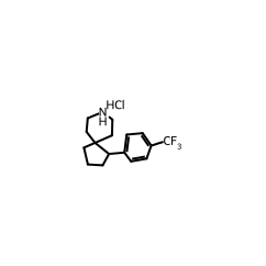 Cl.FC(F)(F)c1ccc(C2CCCC23CCNCC3)cc1